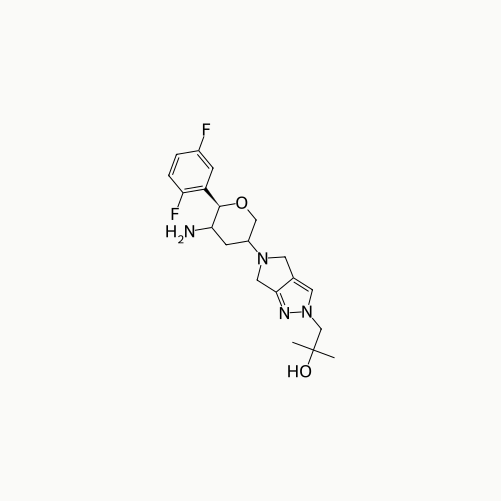 CC(C)(O)Cn1cc2c(n1)CN(C1CO[C@H](c3cc(F)ccc3F)C(N)C1)C2